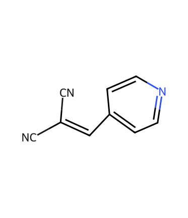 N#CC(C#N)=Cc1ccncc1